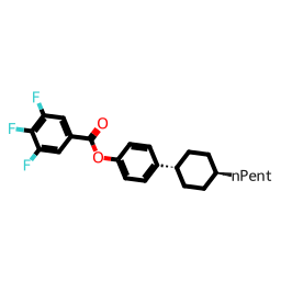 CCCCC[C@H]1CC[C@H](c2ccc(OC(=O)c3cc(F)c(F)c(F)c3)cc2)CC1